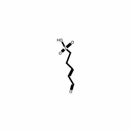 O=[C]C=CCCS(=O)(=O)O